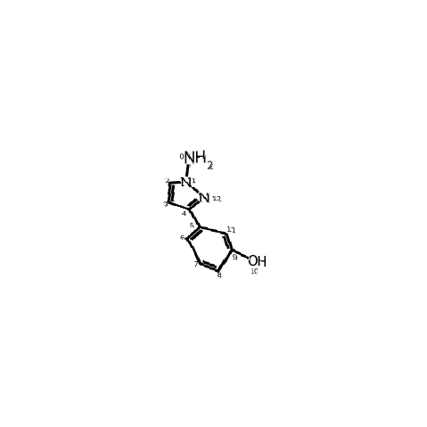 Nn1ccc(-c2cccc(O)c2)n1